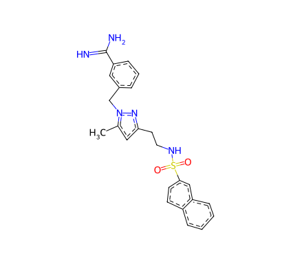 Cc1cc(CCNS(=O)(=O)c2ccc3ccccc3c2)nn1Cc1cccc(C(=N)N)c1